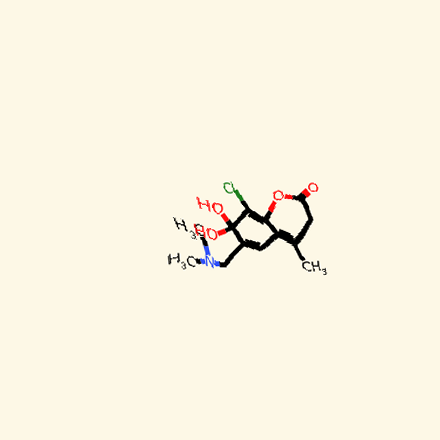 CC1=C2C=C(CN(C)C)C(O)(O)C(Cl)=C2OC(=O)C1